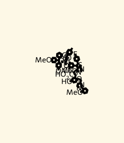 COc1ccc(C(OC[C@H](COS(=O)(=O)c2ccc(C)cc2)Oc2c(Cl)cc(-c3c(-c4ccc(F)cc4)sc4ncnc(OC(Cc5cc(O)ccc5OCc5ccnc(-c6ccccc6OC)n5)C(=O)O)c34)cc2Cl)(c2ccccc2)c2ccc(OC)cc2)cc1